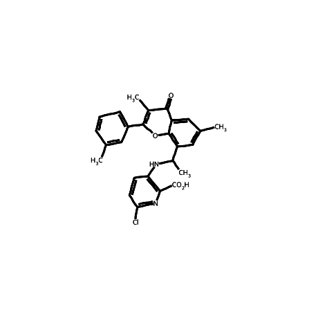 Cc1cccc(-c2oc3c(C(C)Nc4ccc(Cl)nc4C(=O)O)cc(C)cc3c(=O)c2C)c1